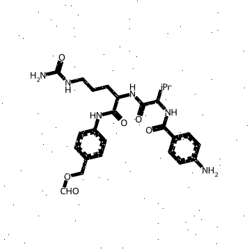 CC(C)C(NC(=O)c1ccc(N)cc1)C(=O)NC(CCCNC(N)=O)C(=O)Nc1ccc(COC=O)cc1